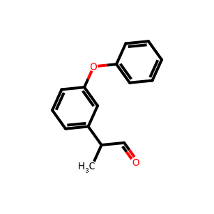 CC(C=O)c1cccc(Oc2ccccc2)c1